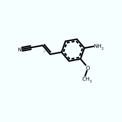 COc1cc(/C=C/C#N)ccc1N